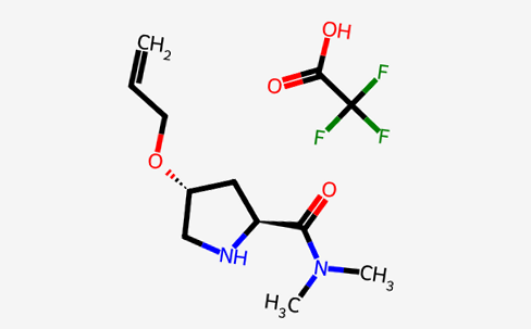 C=CCO[C@H]1CN[C@H](C(=O)N(C)C)C1.O=C(O)C(F)(F)F